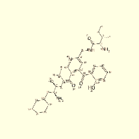 CC[C@H](C)[C@H](N)C(=O)NCc1cc(C(=O)c2ccccc2O)c(C(=O)C(C[C@H](O)[C@@H](N)CC2CCCCC2)C(C)C)cn1